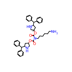 NCCCCCCN(C(=O)OC1CNC(C(c2ccccc2)c2ccccc2)C1)C(=O)O[C@H]1CNC(C(c2ccccc2)c2ccccc2)C1